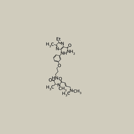 CCc1nc(C(N)=O)c(Nc2cccc(OCCCNC(=O)[C@H](C)N(C)C(=O)/C=C/CN(C)C)c2)nc1C